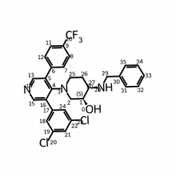 O[C@H]1CN(c2c(-c3ccc(C(F)(F)F)cc3)cncc2-c2cc(Cl)cc(Cl)c2)CC[C@H]1NCc1ccccc1